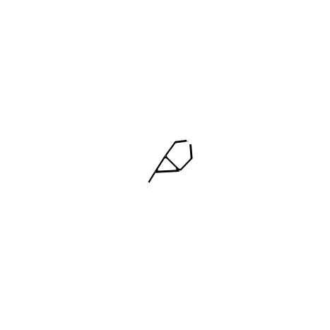 NC1C2C[N]CC12